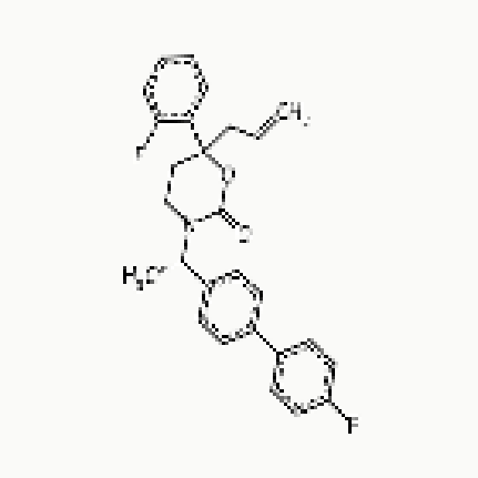 C=CCC1(c2ccccc2F)CCN([C@@H](C)c2ccc(-c3ccc(F)cc3)cc2)C(=O)O1